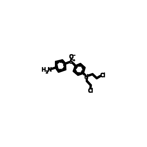 Nc1ccc([S+]([O-])c2ccc(N(CCCl)CCCl)cc2)cc1